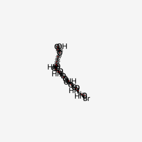 O=C(CBr)NCCCCCNC(=O)COCCOCCNC(=O)COCCOCCNC(=O)CCCS(=O)(=O)NC(=O)CCCCCCCCCOc1ccc(C(=O)O)cc1